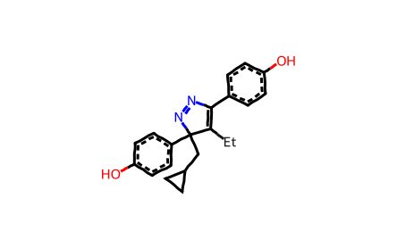 CCC1=C(c2ccc(O)cc2)N=NC1(CC1CC1)c1ccc(O)cc1